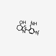 CNCc1cc(N(C)C)ccc1-c1nc2c(s1)C(O)CCC2